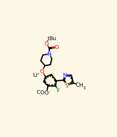 Cc1cnc(-c2cc(OC3CCN(C(=O)OC(C)(C)C)CC3)cc(C(=O)[O-])c2F)s1.[Li+]